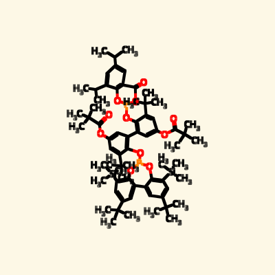 CC(C)c1cc2c(c(C(C)C)c1)OP(Oc1c(-c3cc(OC(=O)C(C)(C)C)cc(C(C)(C)C)c3Op3oc4c([Si](C)(C)C)cc(C(C)(C)C)cc4c4cc(C(C)(C)C)cc([Si](C)(C)C)c4o3)cc(OC(=O)C(C)(C)C)cc1C(C)(C)C)OC2=O